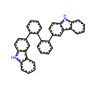 c1ccc(-c2ccccc2-c2ccc3[nH]c4ccccc4c3c2)c(-c2ccc3[nH]c4ccccc4c3c2)c1